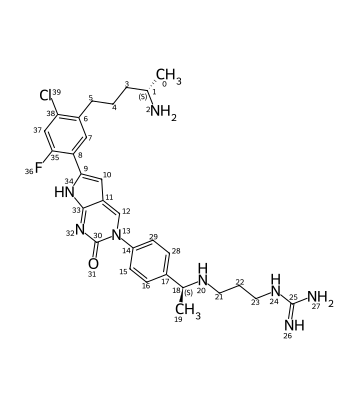 C[C@H](N)CCCc1cc(-c2cc3cn(-c4ccc([C@H](C)NCCCNC(=N)N)cc4)c(=O)nc3[nH]2)c(F)cc1Cl